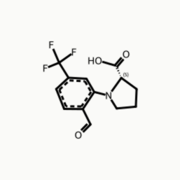 O=Cc1ccc(C(F)(F)F)cc1N1CCC[C@H]1C(=O)O